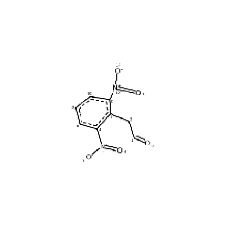 O=CCc1c([N+](=O)[O-])cccc1[N+](=O)[O-]